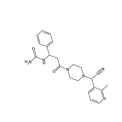 Cc1ncccc1C(C#N)N1CCN(C(=O)CC(NC(N)=O)c2ccccc2)CC1